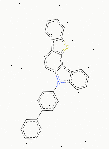 c1ccc(-c2ccc(-n3c4ccccc4c4c5sc6ccccc6c5ccc43)cc2)cc1